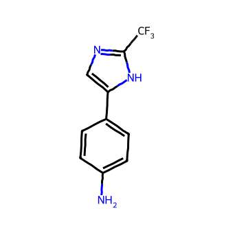 Nc1ccc(-c2cnc(C(F)(F)F)[nH]2)cc1